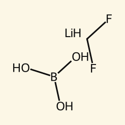 FCF.OB(O)O.[LiH]